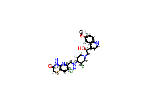 COc1ccc2nccc(C(O)CN3CCC(NCc4nc5c(cc4Cl)SCC(=O)N5)C(F)C3)c2c1